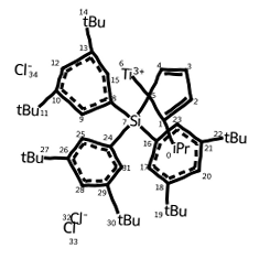 CC(C)C1=CC=C[C]1([Ti+3])[Si](c1cc(C(C)(C)C)cc(C(C)(C)C)c1)(c1cc(C(C)(C)C)cc(C(C)(C)C)c1)c1cc(C(C)(C)C)cc(C(C)(C)C)c1.[Cl-].[Cl-].[Cl-]